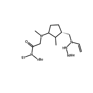 C=CN(C[C@H]1CCC(N(C)CC(=O)N(CC)CCCC)C1C)NNC